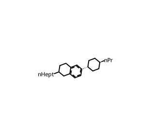 CCCCCCCC1CCc2cc([C@H]3CC[C@H](CCC)CC3)ccc2C1